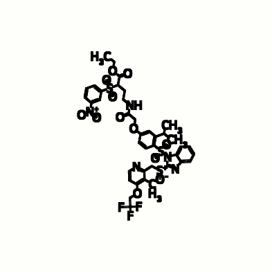 CCOC(=O)C(CCNC(=O)COc1ccc(S(=O)(=O)n2c([S+]([O-])Cc3nccc(OCC(F)(F)F)c3C)nc3ccccc32)c(C(C)C)c1)S(=O)(=O)c1cccc([N+](=O)[O-])c1